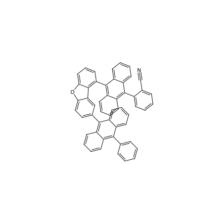 N#Cc1ccccc1-c1c2ccccc2c(-c2cccc3oc4ccc(-c5c6ccccc6c(-c6ccccc6)c6ccccc56)cc4c23)c2ccccc12